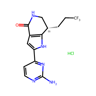 Cl.Nc1nccc(-c2cc3c([nH]2)[C@@H](CCC(F)(F)F)CNC3=O)n1